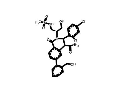 CS(=O)(=O)NC[C@@H](CO)N1C(=O)c2ccc(-c3ccccc3CO)cc2C(C(N)=O)C1c1ccc(Cl)cc1Cl